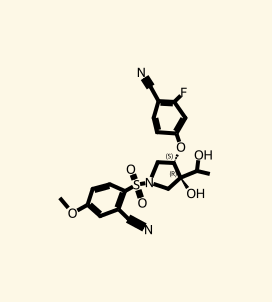 COc1ccc(S(=O)(=O)N2C[C@H](Oc3ccc(C#N)c(F)c3)[C@](O)(C(C)O)C2)c(C#N)c1